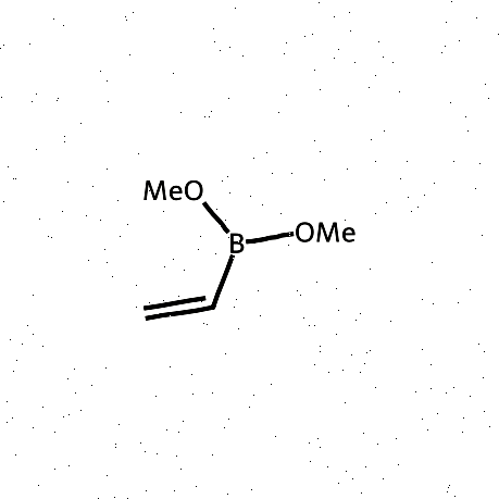 C=CB(OC)OC